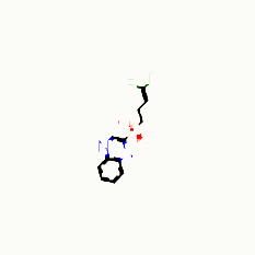 O=S(=O)(CCC=C(F)F)c1cnc2ccccc2n1